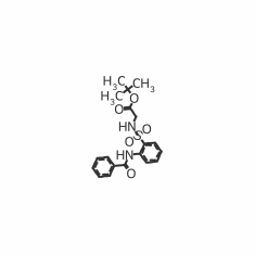 CC(C)(C)OC(=O)CNS(=O)(=O)c1ccccc1NC(=O)c1ccccc1